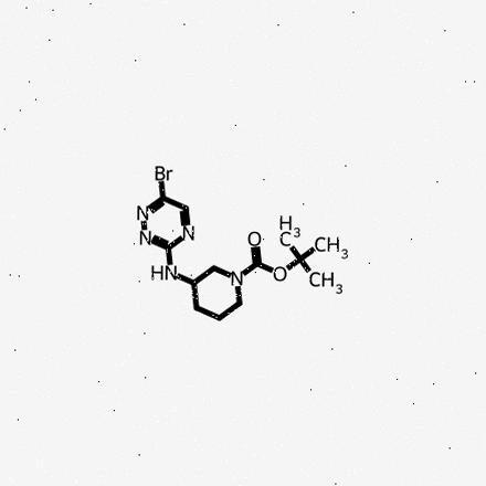 CC(C)(C)OC(=O)N1CCCC(Nc2ncc(Br)nn2)C1